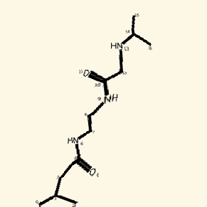 CC(C)CC(=O)NCCNC(=O)CNC(C)C